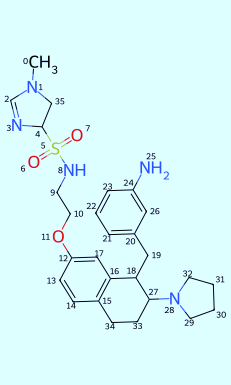 CN1C=NC(S(=O)(=O)NCCOc2ccc3c(c2)C(Cc2cccc(N)c2)C(N2CCCC2)CC3)C1